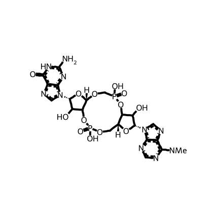 CNc1ncnc2c1ncn2[C@@H]1O[C@@H]2COP(=O)(O)OC3C(O)[C@H](n4cnc5c(=O)[nH]c(N)nc54)O[C@@H]3OCP(=O)(O)OC2C1O